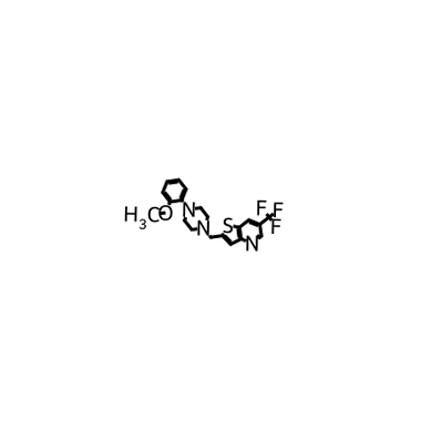 COc1ccccc1N1CCN(Cc2cc3ncc(C(F)(F)F)cc3s2)CC1